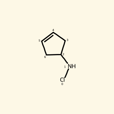 ClNC1CC=CC1